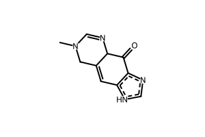 CN1C=NC2C(=O)c3nc[nH]c3C=C2C1